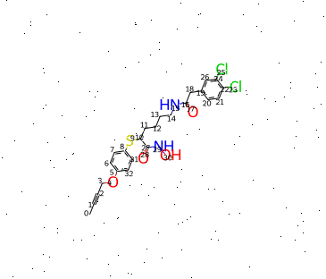 CC#CCOc1ccc(SC(CCCCNC(=O)Cc2ccc(Cl)c(Cl)c2)C(=O)NO)cc1